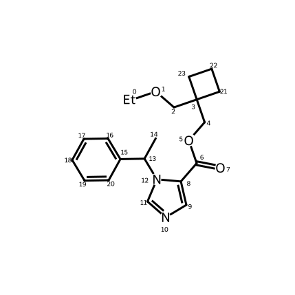 CCOCC1(COC(=O)c2cncn2C(C)c2ccccc2)CCC1